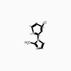 Cc1nccn1-c1cc(Cl)ccn1